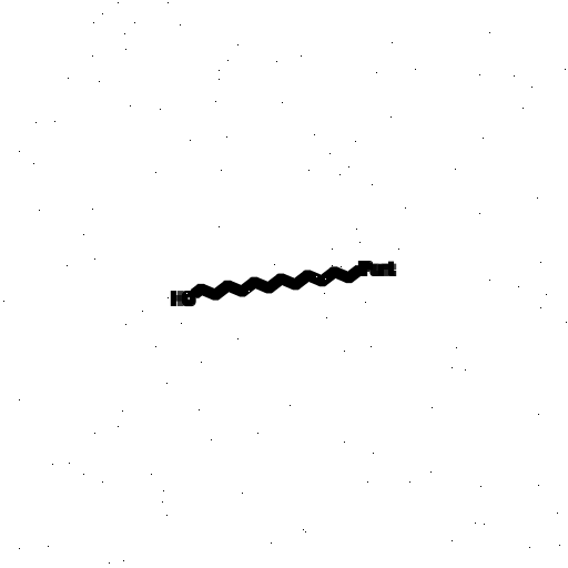 CCCC(C)CCCCCCCCCCCCO